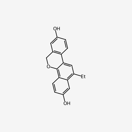 CCc1cc2c(c3ccc(O)cc13)OCc1cc(O)ccc1-2